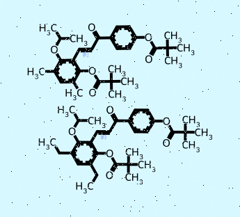 CCc1cc(CC)c(OC(C)C)c(/C=C/C(=O)c2ccc(OC(=O)C(C)(C)C)cc2)c1OC(=O)C(C)(C)C.Cc1cc(C)c(OC(C)C)c(/C=C/C(=O)c2ccc(OC(=O)C(C)(C)C)cc2)c1OC(=O)C(C)(C)C